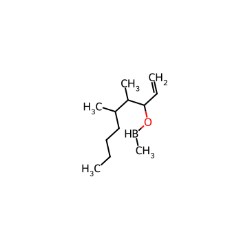 C=CC(OBC)C(C)C(C)CCCC